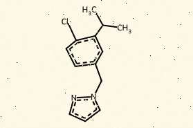 CC(C)c1cc(Cn2cccn2)ccc1Cl